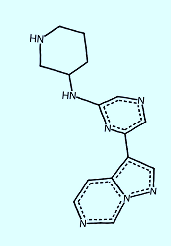 c1cc2c(-c3cncc(NC4CCCNC4)n3)cnn2cn1